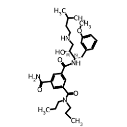 CCCN(CCC)C(=O)c1cc(C(N)=O)cc(C(=O)N[C@@H](Cc2cccc(OC)c2)[C@H](O)CNCCC(C)C)c1